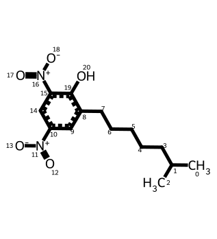 CC(C)CCCCCc1cc([N+](=O)[O-])cc([N+](=O)[O-])c1O